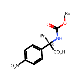 CC(C)[C@@](NC(=O)OC(C)(C)C)(C(=O)O)c1ccc([N+](=O)[O-])cc1